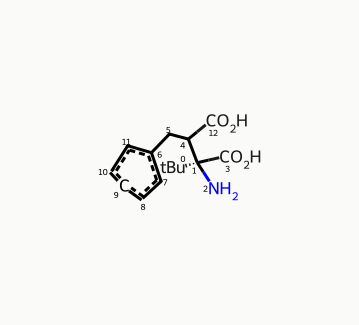 CC(C)(C)[C@@](N)(C(=O)O)C(Cc1ccccc1)C(=O)O